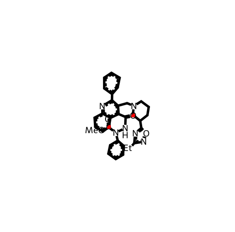 CCc1noc(C2CCCN(Cc3c(-c4ccccc4)nc4ccccc4c3C(=O)NN(C(=O)OC)c3ccccc3)C2)n1